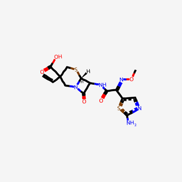 C=CC1(C(=O)O)CS[C@@H]2C(NC(=O)C(=NOC)c3cnc(N)s3)C(=O)N2C1